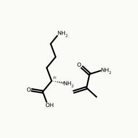 C=C(C)C(N)=O.NCCC[C@H](N)C(=O)O